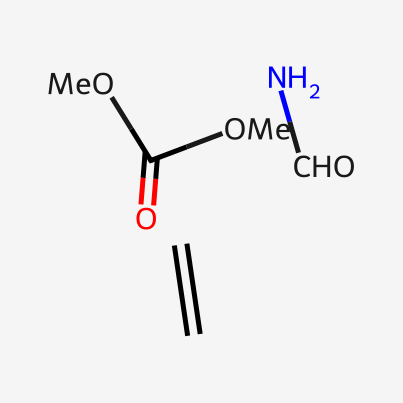 C=C.COC(=O)OC.NC=O